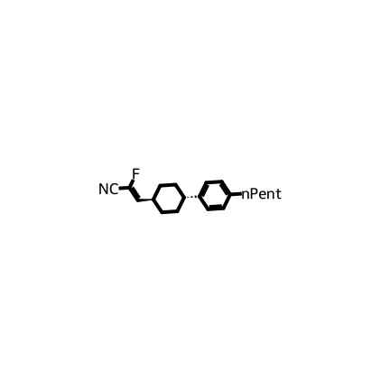 CCCCCc1ccc([C@H]2CC[C@H](C=C(F)C#N)CC2)cc1